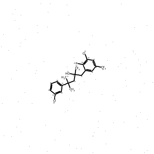 CC(C)(CC(O)(Cc1cc(C(F)(F)F)cc(Cl)c1F)C(F)(F)F)c1cccc(Cl)c1